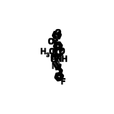 CN1C(=O)[C@@H](NC(=O)n2cc(Cc3cccc(F)c3)cn2)COc2ccc(C(=O)N3CCOCC3)cc21